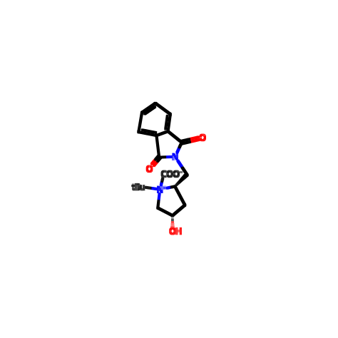 CC(C)(C)[N+]1(C(=O)[O-])C[C@@H](O)C[C@@H]1CN1C(=O)c2ccccc2C1=O